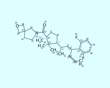 C/N=N\C(=C/C(C)C1CC[C@](C)(C(=O)N2CCC3(COC3)C2)C1(C)C)c1c(F)cccc1F